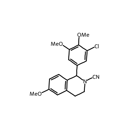 COc1ccc2c(c1)CCN(C#N)C2c1cc(Cl)c(OC)c(OC)c1